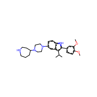 COc1ccc(-c2[nH]c3ccc(N4CCN(C5CCCNCC5)CC4)cc3c2C(C)C)cc1OC